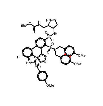 COc1ccc(CN(Cc2ccc(OC)cc2)S(=O)(=O)c2c(S(=O)(=O)N[C@H]3CCNC3CNC(=O)OC(C)(C)C)ccc(-c3cccc4[nH]c(N)nc34)c2-c2nnn(Cc3ccc(OC)cc3)n2)cc1.I